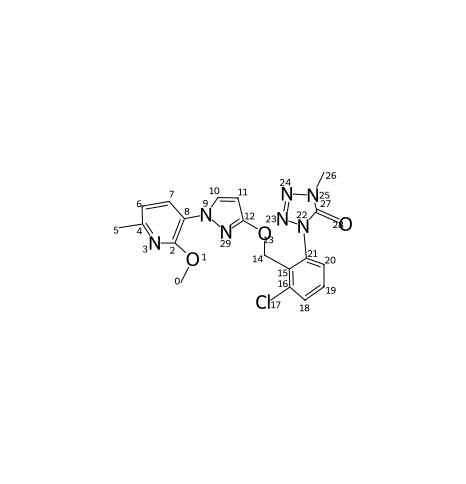 COc1nc(C)ccc1-n1ccc(OCc2c(Cl)cccc2-n2nnn(C)c2=O)n1